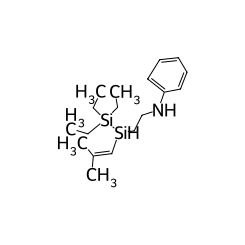 CC[Si](CC)(CC)[SiH](C=C(C)C)CCNc1ccccc1